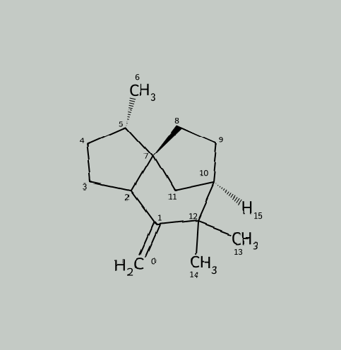 C=C1C2CC[C@H](C)[C@@]23CC[C@H](C3)C1(C)C